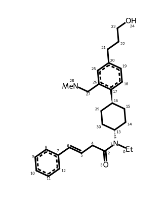 CCN(C(=O)CC=Cc1ccccc1)[C@H]1CC[C@H](c2ccc(CCCO)cc2CNC)CC1